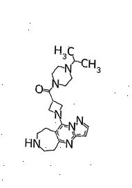 CC(C)N1CCN(C(=O)C2CN(c3c4c(nc5ccnn35)CCNCC4)C2)CC1